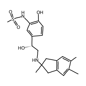 Cc1cc2c(cc1C)CC(C)(NC[C@H](O)c1ccc(O)c(NS(C)(=O)=O)c1)C2